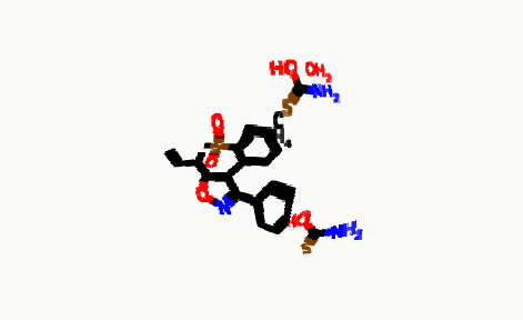 C.C=CC(C)c1onc(-c2ccccc2)c1-c1ccccc1S(C)(=O)=O.NC(O)=S.NC(O)=S.O